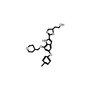 Cc1ccc(Oc2cc(OCC3CCOCC3)c3[nH]c(C4=NCC(CCO)S4)cc3c2)cc1